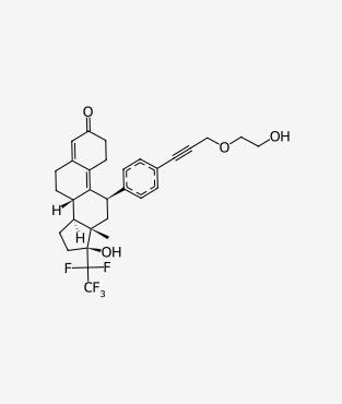 C[C@]12C[C@H](c3ccc(C#CCOCCO)cc3)C3=C4CCC(=O)C=C4CC[C@H]3[C@@H]1CC[C@@]2(O)C(F)(F)C(F)(F)F